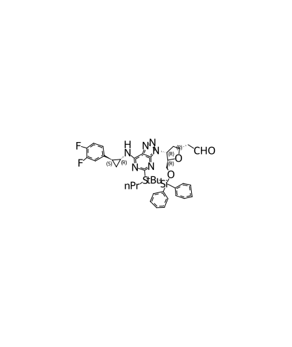 CCCSc1nc(N[C@@H]2C[C@H]2c2ccc(F)c(F)c2)c2nnn([C@@H]3C[C@H](CC=O)O[C@H]3CO[Si](c3ccccc3)(c3ccccc3)C(C)(C)C)c2n1